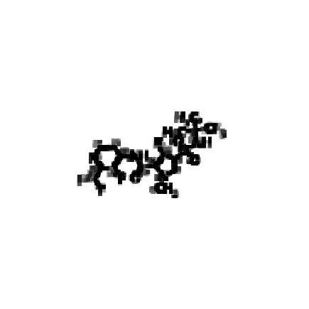 Cn1cc(S(=O)(=O)NC(C)(C)C(F)(F)F)c(F)c1C(=O)Nc1ccnc(C(F)F)c1F